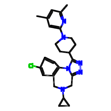 Cc1cc(C)nc(N2CCC(c3nnc4n3-c3ccc(Cl)cc3CN(C3CC3)C4)CC2)c1